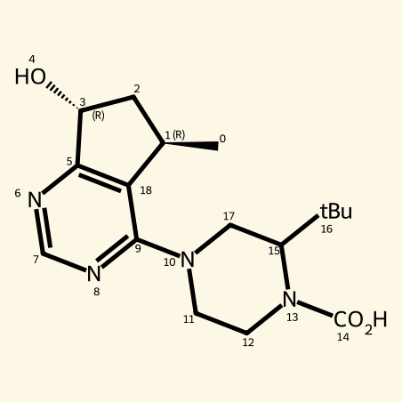 C[C@@H]1C[C@@H](O)c2ncnc(N3CCN(C(=O)O)C(C(C)(C)C)C3)c21